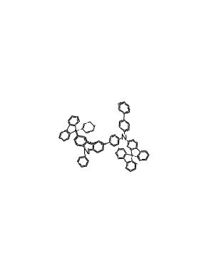 C1=CC(C2(c3ccc4c(c3)c3cc(-c5ccc(N(c6ccc(-c7ccccc7)cc6)c6ccc7c(c6)C6(c8ccccc8-c8ccccc86)c6ccccc6-7)cc5)ccc3n4-c3ccccc3)c3ccccc3-c3ccccc32)=CCC1